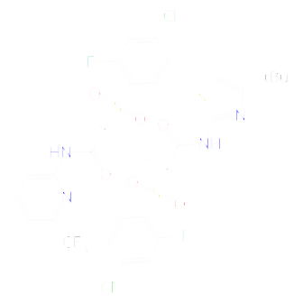 CC(C)(C(=O)Nc1cccc(C(F)(F)F)n1)S(=O)(=O)c1ccc(Cl)cc1F.CC(C)(C)c1csc(NC(=O)C(C)(C)S(=O)(=O)c2ccc(Cl)cc2F)n1